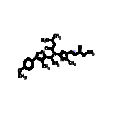 BC(c1ncn(-c2ccc(OC)cc2)c1C)N(C(=O)CC(C)C)c1cc(/C=C/C(=O)OC)n(C)n1